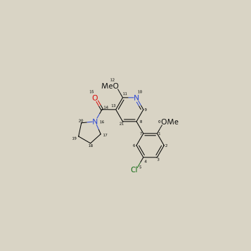 COc1ccc(Cl)cc1-c1cnc(OC)c(C(=O)N2CCCC2)c1